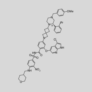 COc1ccc(CN2CCN(C3CC4(C3)CN(c3ccc(C(=O)NS(=O)(=O)c5ccc(NCC6CCOCC6)c([N+](=O)[O-])c5)c(Oc5cnc6[nH]cc(Cl)c6c5)c3)C4)[C@H](c3ccccc3C(C)C)C2)cc1